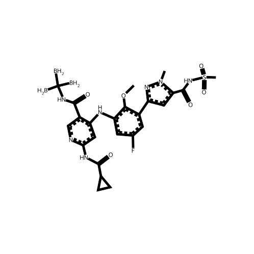 BC(B)(B)NC(=O)c1cnc(NC(=O)C2CC2)cc1Nc1cc(F)cc(-c2cc(C(=O)NS(C)(=O)=O)n(C)n2)c1OC